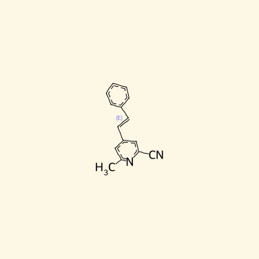 Cc1cc(/C=C/c2ccccc2)cc(C#N)n1